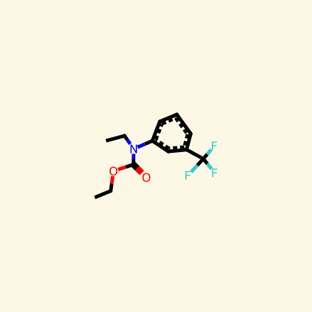 CCOC(=O)N(CC)c1cccc(C(F)(F)F)c1